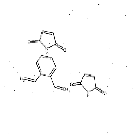 C=Cc1ccccc1C=C.O=C1C=CC(=O)N1.O=C1C=CC(=O)N1